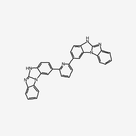 c1cc(-c2ccc3[nH]c4nc5ccccc5n4c3c2)nc(-c2ccc3[nH]c4nc5ccccc5n4c3c2)c1